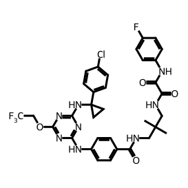 CC(C)(CNC(=O)C(=O)Nc1ccc(F)cc1)CNC(=O)c1ccc(Nc2nc(NC3(c4ccc(Cl)cc4)CC3)nc(OCC(F)(F)F)n2)cc1